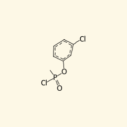 CP(=O)(Cl)Oc1cccc(Cl)c1